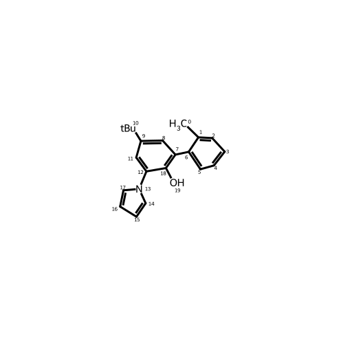 Cc1ccccc1-c1cc(C(C)(C)C)cc(-n2cccc2)c1O